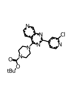 CC(C)(C)OC(=O)N1CCN(c2nc(-c3ccnc(Cl)c3)nc3cnccc23)CC1